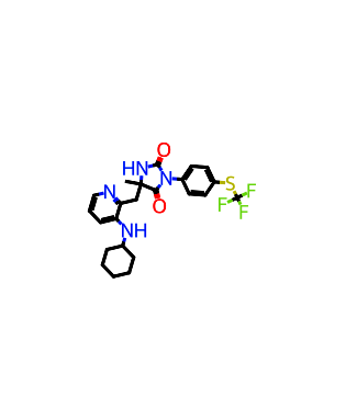 CC1(Cc2ncccc2NC2CCCCC2)NC(=O)N(c2ccc(SC(F)(F)F)cc2)C1=O